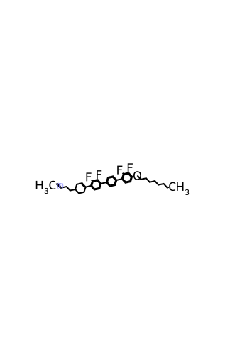 C/C=C/CCC1CC=C(c2ccc(-c3ccc(-c4ccc(OCCCCCCCC)c(F)c4F)cc3)c(F)c2F)CC1